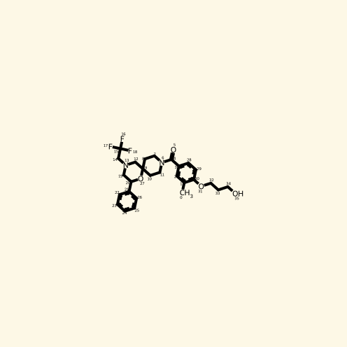 Cc1cc(C(=O)N2CCC3(CC2)CN(CC(F)(F)F)CC(c2ccccc2)O3)ccc1OCCCO